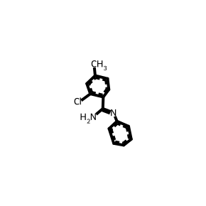 Cc1ccc(C(N)=Nc2ccccc2)c(Cl)c1